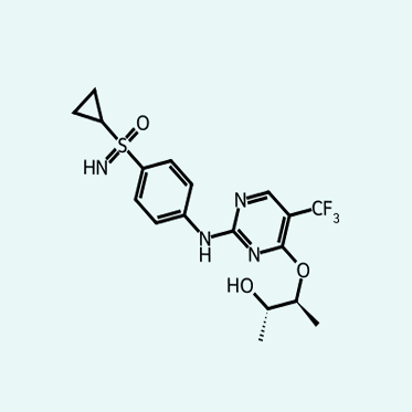 C[C@H](O)[C@H](C)Oc1nc(Nc2ccc(S(=N)(=O)C3CC3)cc2)ncc1C(F)(F)F